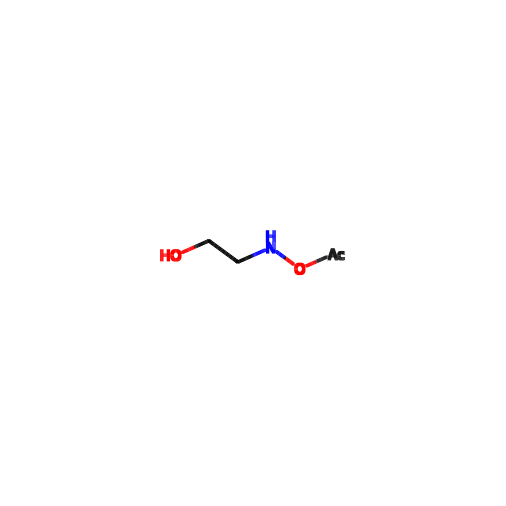 CC(=O)ONCCO